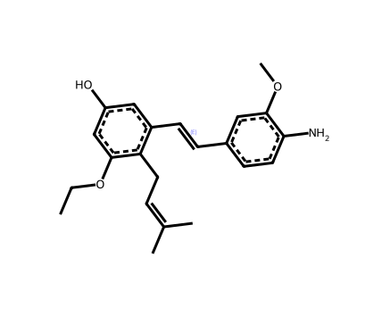 CCOc1cc(O)cc(/C=C/c2ccc(N)c(OC)c2)c1CC=C(C)C